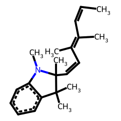 C\C=C/C(C)=C(C)/C=C\C1(C)N(C)c2ccccc2C1(C)C